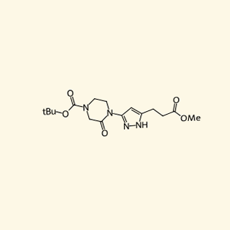 COC(=O)CCc1cc(N2CCN(C(=O)OC(C)(C)C)CC2=O)n[nH]1